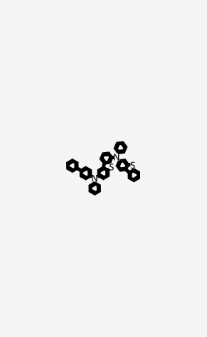 c1ccc(-c2ccc(N(c3ccccc3)c3ccc4sc5c(N(c6ccccc6)c6ccc7c(c6)sc6ccccc67)cccc5c4c3)cc2)cc1